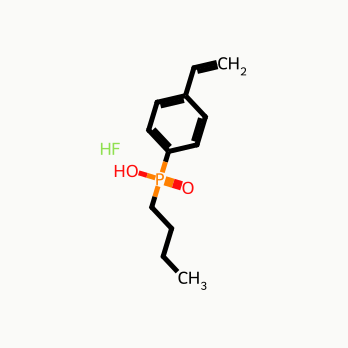 C=Cc1ccc(P(=O)(O)CCCC)cc1.F